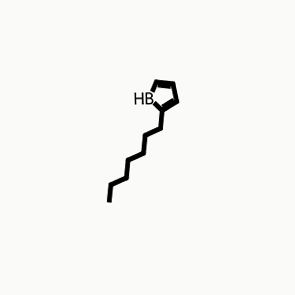 CCCCCCCC1=CC=CB1